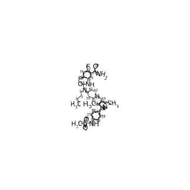 CCCCN(C(=O)Nc1cc(C(N)=O)c(F)cc1F)C1CCN(Cc2c(C)nn(-c3ccc(NS(C)(=O)=O)cc3)c2C)CC1